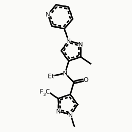 CCN(C(=O)c1cn(C)nc1C(F)(F)F)c1cn(-c2cccnc2)nc1C